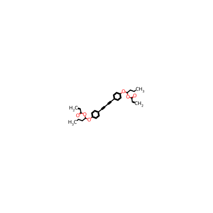 C=CC(=O)OC(CCC)Oc1ccc(C#CC#Cc2ccc(OC(CCC)OC(=O)C=C)cc2)cc1